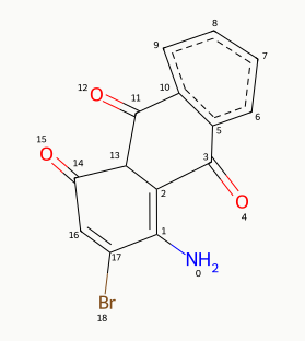 NC1=C2C(=O)c3ccccc3C(=O)C2C(=O)C=C1Br